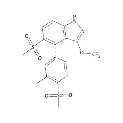 Cc1cc(-c2c(S(C)(=O)=O)ccc3[nH]nc(OC(F)(F)F)c23)ccc1S(C)(=O)=O